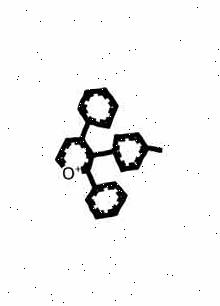 Cc1ccc(-c2c(-c3ccccc3)cc[o+]c2-c2ccccc2)cc1